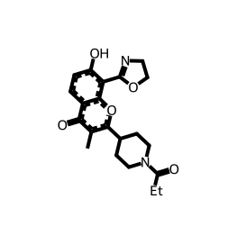 CCC(=O)N1CCC(c2oc3c(C4=NCCO4)c(O)ccc3c(=O)c2C)CC1